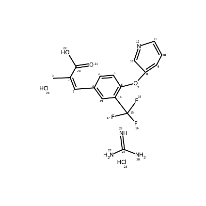 CC(=Cc1ccc(Oc2cccnc2)c(C(F)(F)F)c1)C(=O)O.Cl.Cl.N=C(N)N